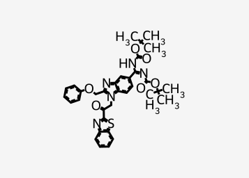 CC(C)(C)OC(=O)/N=C(/NC(=O)OC(C)(C)C)c1ccc2c(c1)nc(COc1ccccc1)n2CC(=O)c1nc2ccccc2s1